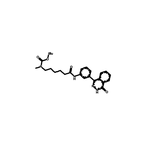 CN(CCCCCC(=O)Nc1cccc(-c2n[nH]c(=O)c3ccccc23)c1)C(=O)OC(C)(C)C